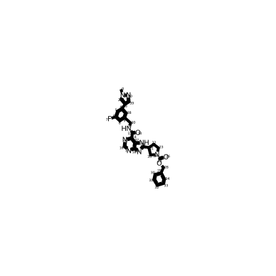 Cn1cc(-c2cc(F)cc(CNC(=O)c3ncnc4nc(C5CCN(C(=O)OCc6ccccc6)C5)[nH]c34)c2)cn1